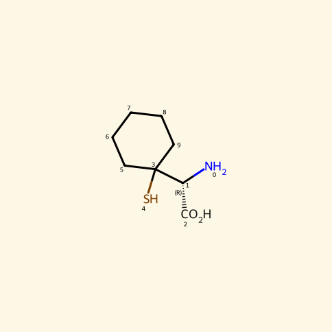 N[C@H](C(=O)O)C1(S)CCCCC1